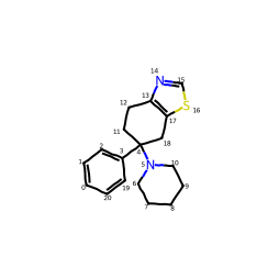 c1ccc(C2(N3CCCCC3)CCc3ncsc3C2)cc1